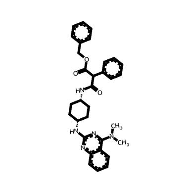 CN(C)c1nc(N[C@H]2CC[C@@H](NC(=O)C(C(=O)OCc3ccccc3)c3ccccc3)CC2)nc2ccccc12